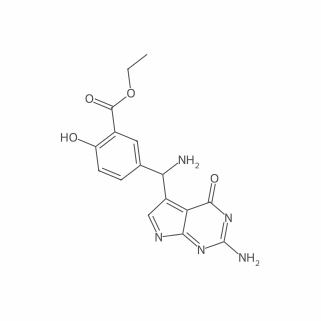 CCOC(=O)c1cc(C(N)C2=C3C(=O)N=C(N)N=C3N=C2)ccc1O